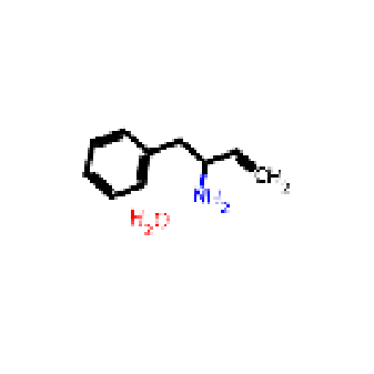 C=CC(N)Cc1ccccc1.O